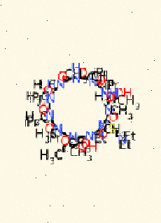 C/C=C/C[C@@H](C)[C@@H](O)[C@H]1C(=O)N[C@@H](CC)C(=O)N(C)[C@H](CSCCN(CC)CC)C(=O)N(C)[C@@H](CC(C)(C)O)C(=O)N[C@H](C(C)C)C(=O)N(C)[C@H](CC(C)C)C(=O)N[C@H](C)C(=O)N[C@@H](C)C(=O)N(C)[C@@H](CC(C)C)C(=O)N(C)[C@@H](CCC(C)C)C(=O)N(C)[C@@H](C(C)C)C(=O)N1C